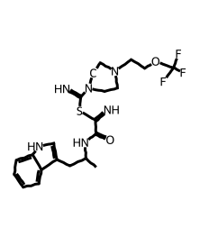 CC(Cc1c[nH]c2ccccc12)NC(=O)C(=N)SC(=N)N1CCN(CCOC(F)(F)F)CC1